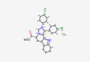 COC(=O)c1cc2c3ccccc3[nH]c2c2c(-c3ccc(Br)cc3)n(-c3ccc(Cl)cc3)c[n+]12.[Cl-]